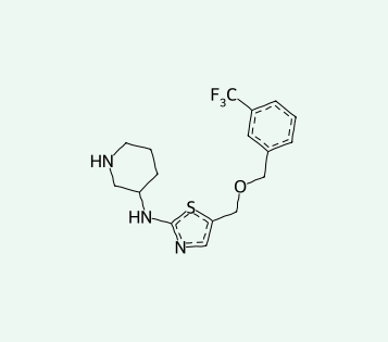 FC(F)(F)c1cccc(COCc2cnc(NC3CCCNC3)s2)c1